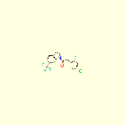 O=C(Cc1ccc(Cl)cc1F)N1CCc2ccc(C(F)(F)F)cc21